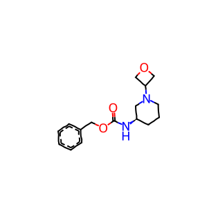 O=C(N[C@@H]1CCCN(C2COC2)C1)OCc1ccccc1